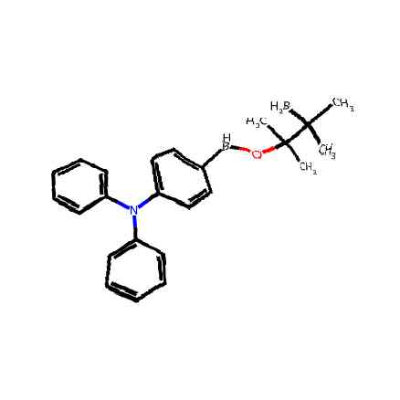 BC(C)(C)C(C)(C)OBc1ccc(N(c2ccccc2)c2ccccc2)cc1